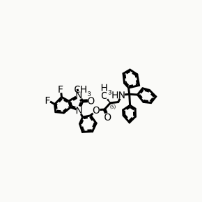 C[C@@H](CNC(c1ccccc1)(c1ccccc1)c1ccccc1)C(=O)Oc1ccccc1-n1c(=O)n(C)c2c(F)c(F)ccc21